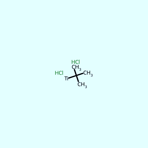 C[C](C)(C)[Ti].Cl.Cl